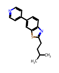 CC(C)CCc1nc2ccc(-c3ccncc3)cc2s1